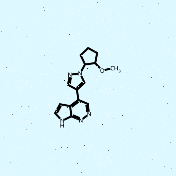 COC1CCCC1n1cc(-c2cnnc3[nH]ccc23)cn1